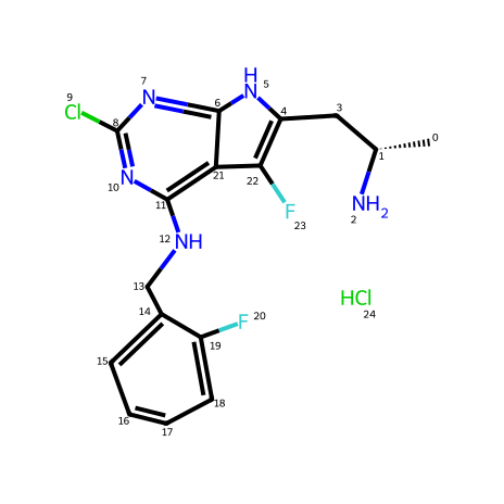 C[C@H](N)Cc1[nH]c2nc(Cl)nc(NCc3ccccc3F)c2c1F.Cl